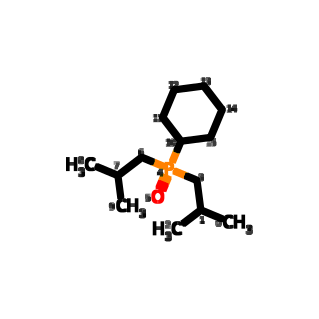 CC(C)CP(=O)(CC(C)C)C1CCCCC1